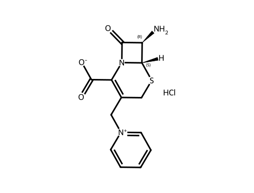 Cl.N[C@@H]1C(=O)N2C(C(=O)[O-])=C(C[n+]3ccccc3)CS[C@@H]12